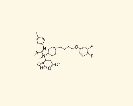 CSC(=Nc1ccc(C)cc1)[N+](C)(/C(=C/C(=O)[O-])C(=O)O)C1CCN(CCCCOc2ccc(F)c(F)c2)CC1